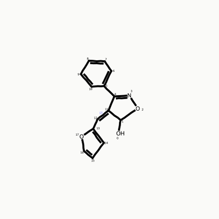 OC1ON=C(c2ccccc2)/C1=C/c1ccco1